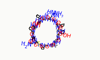 CC(C)C1NC(=O)[C@H](Cc2ccccc2)NC(=O)CSC[C@@H](C(=O)NCC(N)=O)NC(=O)[C@@H]2CCCN2C(=O)[C@H](Cc2ccccc2)N(C)C(=O)[C@H]([C@@H](C)O)NC(=O)[C@H](Cc2c[nH]c3ccccc23)NC(=O)[C@H](C)NC(=O)[C@H](CCCNC(=N)N)NC(=O)CN(C)C(=O)[C@H](Cc2ccccc2)N(C)C(=O)[C@H](Cc2ccc(O)cc2)NC(=O)CN(C)C(=O)CNC1=O